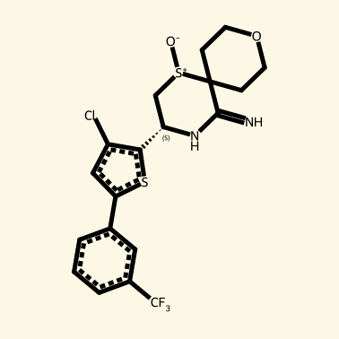 N=C1N[C@H](c2sc(-c3cccc(C(F)(F)F)c3)cc2Cl)C[S+]([O-])C12CCOCC2